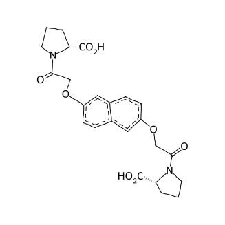 O=C(O)[C@H]1CCCN1C(=O)COc1ccc2cc(OCC(=O)N3CCC[C@@H]3C(=O)O)ccc2c1